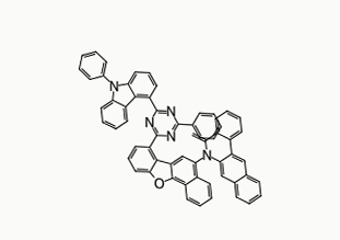 C=C1c2ccccc2-c2cc3ccccc3cc2N1c1cc2c(oc3cccc(-c4nc(-c5ccccc5)nc(-c5cccc6c5c5ccccc5n6-c5ccccc5)n4)c32)c2ccccc12